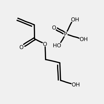 C=CC(=O)OCC=CO.O=P(O)(O)O